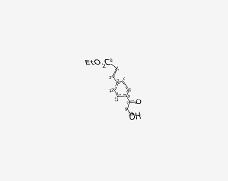 CCOC(=O)C=Cc1ccc(C(=O)CO)cc1